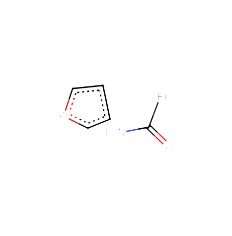 CCC(N)=O.c1ccoc1